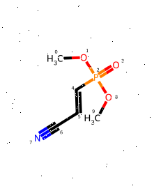 COP(=O)(C=CC#N)OC